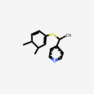 CC1C=CC(SC(C#N)c2ccncc2)=CC1C